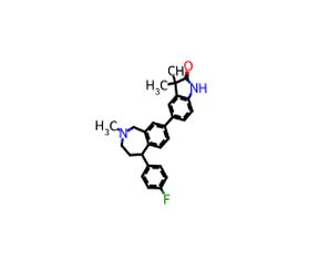 CN1CCC(c2ccc(F)cc2)c2ccc(-c3ccc4c(c3)C(C)(C)C(=O)N4)cc2C1